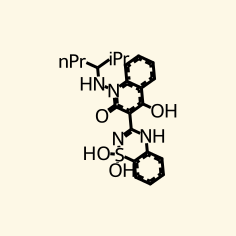 CCCC(Nn1c(=O)c(C2=NS(O)(O)c3ccccc3N2)c(O)c2ccccc21)C(C)C